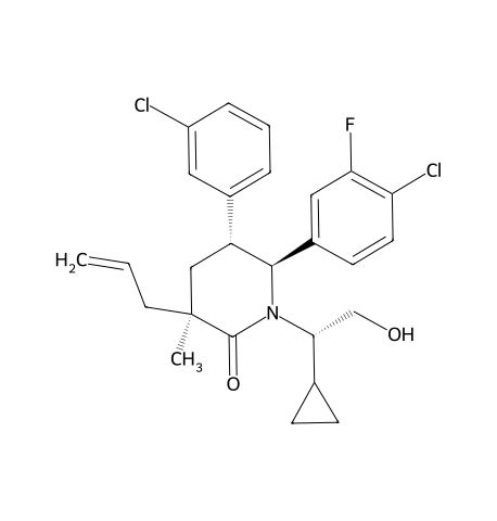 C=CC[C@@]1(C)C[C@H](c2cccc(Cl)c2)[C@@H](c2ccc(Cl)c(F)c2)N([C@H](CO)C2CC2)C1=O